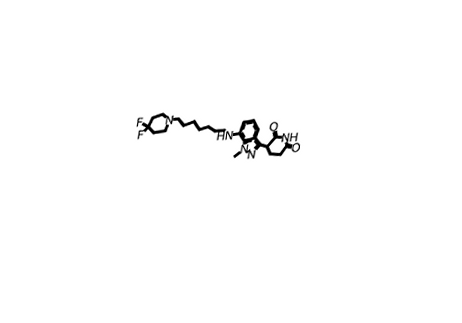 Cn1nc(C2CCC(=O)NC2=O)c2cccc(NCCCCCCCN3CCC(F)(F)CC3)c21